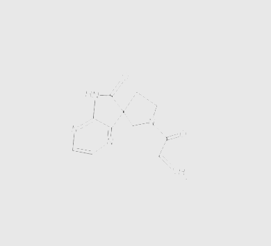 C=CC(=O)N1CCC2(C1)C(=O)Nc1nccnc12